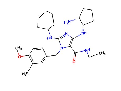 Bc1cc(Cn2c(NC3CCCCC3)nc(N[C@H]3CCC[C@H]3N)c2C(=O)NCC)ccc1OC